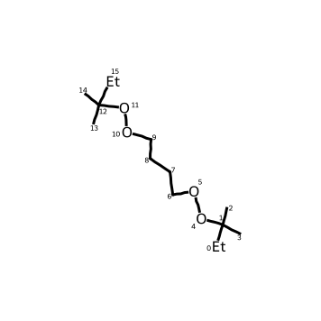 CCC(C)(C)OOCCCCOOC(C)(C)CC